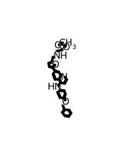 CS(=O)(=O)CCNCc1ccc(-c2ccc3c(Nc4ccc(OCc5ccccc5)cc4)ccnc3c2)o1